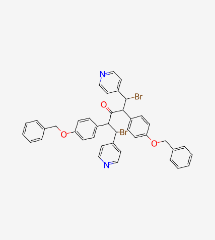 O=C(C(c1ccc(OCc2ccccc2)cc1)C(Br)c1ccncc1)C(c1ccc(OCc2ccccc2)cc1)C(Br)c1ccncc1